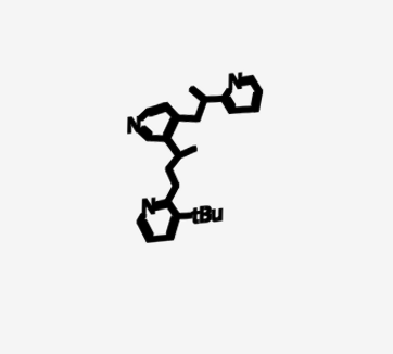 CC(Cc1ccncc1C(C)CCc1ncccc1C(C)(C)C)c1ccccn1